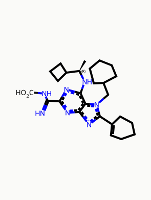 C[C@@H](Nc1nc(C(=N)NC(=O)O)nc2nc(C3=CCCCC3)n(CC3CCCCC3)c12)C1CCC1